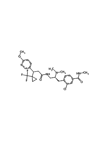 CNC(=O)c1ccc(C[C@@H](CNC(=O)CC(c2ccc(OC)nc2)C2(C(F)(F)F)CC2)N(C)C)c(Cl)c1